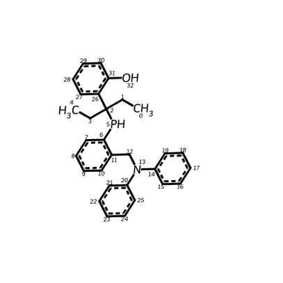 CCC(CC)(Pc1ccccc1CN(c1ccccc1)c1ccccc1)c1ccccc1O